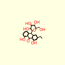 CCc1cc(O)c2c(c1)C(C1O[C@H](CO)[C@@H](O)[C@H](O)[C@H]1O)c1cccc(O)c1C2=O